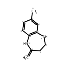 C=C1CCNc2cc(C)ccc2N1